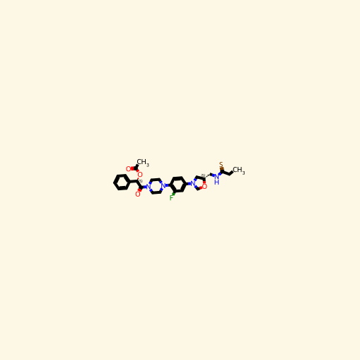 CCC(=S)NC[C@H]1CN(c2ccc(N3CCN(C(=O)[C@@H](OC(C)=O)c4ccccc4)CC3)c(F)c2)CO1